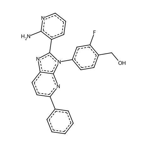 Nc1ncccc1-c1nc2ccc(-c3ccccc3)nc2n1-c1ccc(CO)c(F)c1